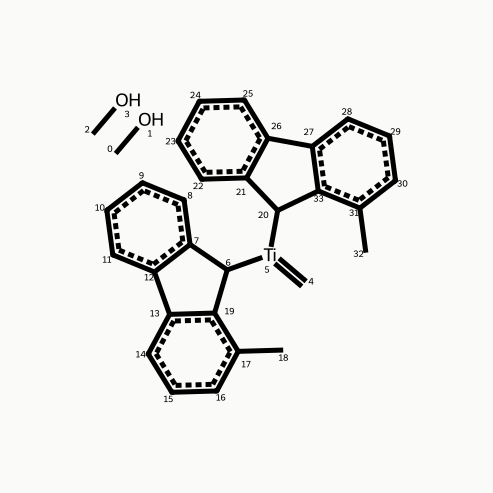 CO.CO.[CH2]=[Ti]([CH]1c2ccccc2-c2cccc(C)c21)[CH]1c2ccccc2-c2cccc(C)c21